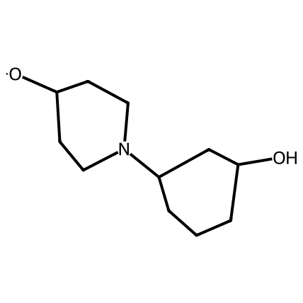 [O]C1CCN(C2CCCC(O)C2)CC1